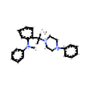 CCN(c1ccccc1)c1ccccc1C(C)(C(=O)O)N1CCN(c2ccccc2)CC1